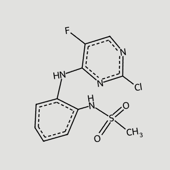 CS(=O)(=O)Nc1ccccc1Nc1nc(Cl)ncc1F